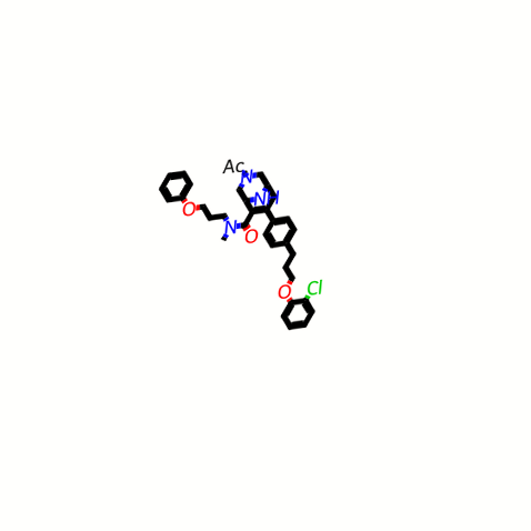 CC(=O)N1CC2CC(c3ccc(CCCOc4ccccc4Cl)cc3)=C(C(=O)N(C)CCCOc3ccccc3)C(C1)N2